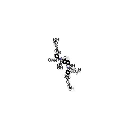 COc1ccc(S(=O)(=O)CCOSOOO)cc1/N=N/c1c(SOOO)cc2c(/N=N/c3ccc(S(=O)(=O)CCOSOOO)cc3S(=O)(=O)O)c(NCS(=O)(=O)O)ccc2c1O